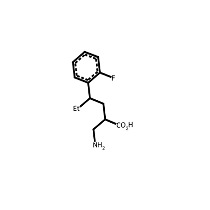 CCC(CC(CN)C(=O)O)c1ccccc1F